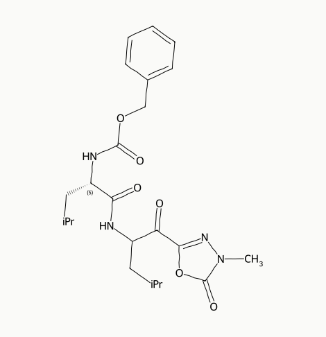 CC(C)CC(NC(=O)[C@H](CC(C)C)NC(=O)OCc1ccccc1)C(=O)c1nn(C)c(=O)o1